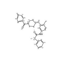 Cc1ccc(NC(=O)[C@@H](C)c2ccccc2)cc1OC1CCN(C(=O)c2ccncc2)CC1